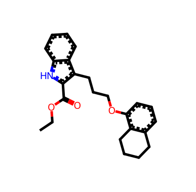 CCOC(=O)c1[nH]c2ccccc2c1CCCOc1cccc2c1CCCC2